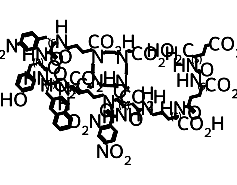 Nc1ccc(C[C@H](NC(=O)CCC(C(=O)O)N2CCN(CC(=O)O)CCN(CC(=O)O)CCN(CC(=O)O)CC2)C(=O)N[C@H](Cc2ccc(O)cc2)C(=O)N[C@H](Cc2ccc3ccccc3c2)C(=O)N[C@H](CCCCNC(=O)[C@@H](CC(=O)NCCC[C@H](NC(=O)CC[C@H](NC(=O)N[C@@H](CCC(=O)O)C(=O)O)C(=O)O)C(=O)O)NC(=O)c2ccc([N+](=O)[O-])cc2[N+](=O)[O-])C(=O)O)cc1